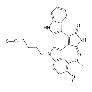 COc1ccc2c(c(C3=C(c4c[nH]c5ccccc45)C(=O)NC3=O)cn2CCCN=C=S)c1OC